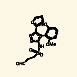 COc1cccc(OC)c1-n1c(NS(=O)(=O)CCC=O)nnc1-c1ccco1